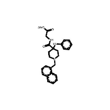 COC(=O)CNC(=O)C1(Nc2ccccc2)CCN(Cc2cccc3ccccc23)CC1